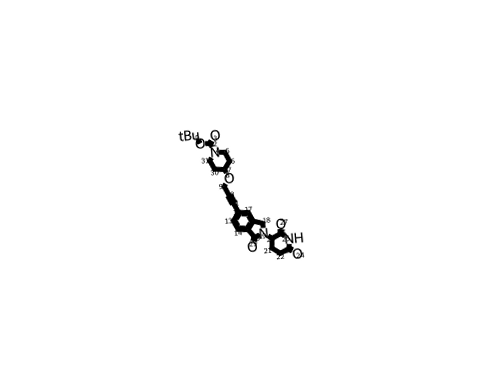 CC(C)(C)OC(=O)N1CCC(OCC#Cc2ccc3c(c2)CN(C2CCC(=O)NC2=O)C3=O)CC1